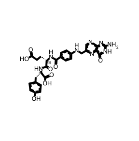 Nc1nc2ncc(CNc3ccc(C(=O)N[C@@H](CCC(=O)O)C(=O)N[C@@H](Cc4ccc(O)cc4)C(=O)O)cc3)nc2c(=O)[nH]1